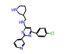 Clc1ccc(-c2cc(NCC3CCCNC3)nc(-c3cccnc3)n2)cc1